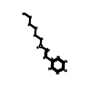 CCCCCCON=Cc1c[c]ccc1